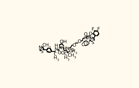 Cc1ncsc1-c1ccc(C(C)NC(=O)[C@@H]2C[C@@H](O)CN2C(=O)C(NC(=O)COCCOCCNC(=O)COc2c(-c3csc(N4CCOCC4)n3)ccc(F)c2F)C(C)(C)C)cc1